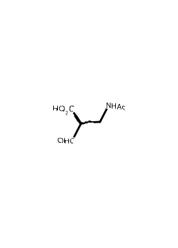 CC(=O)NCC(C=O)C(=O)O